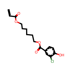 C=CC(=O)OCCCCCCOC(=O)c1ccc(O)c(Cl)c1